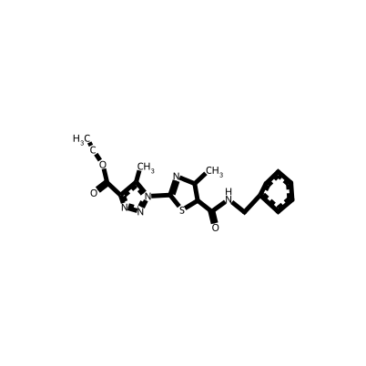 CCOC(=O)c1nnn(C2=NC(C)C(C(=O)NCc3ccccc3)S2)c1C